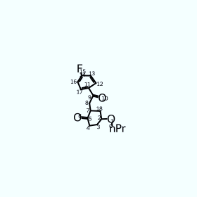 CCCOC1CCC(=O)C(CC(=O)c2ccc(F)cc2)C1